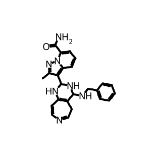 Cc1nn2c(C(N)=O)cccc2c1C1NC2=C(CC=NC=C2)C(NCc2ccccc2)N1